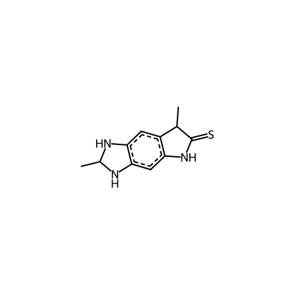 CC1Nc2cc3c(cc2N1)C(C)C(=S)N3